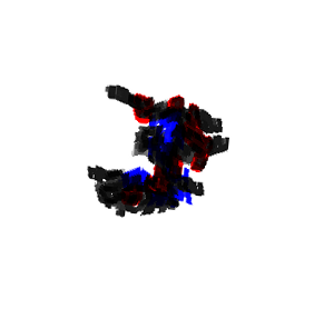 CCC[C@H](NC(=O)C(=O)C(CC(F)(F)F)NC(=O)[C@H](CC(C)C)NC(=O)[C@@H](NC(=O)[C@H](Cc1ccccc1C)NC(=O)[C@H](CCC(=O)OC(C)(C)C)NC(=O)[C@H](CC(=O)OC(C)(C)C)NC(=O)CCC(=O)OC(C)(C)C)C(C)(C)C)c1ccccc1